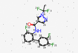 CC(F)(F)n1cc(C(=O)Nc2c(F)cccc2-c2ccc(F)c(F)c2)cn1